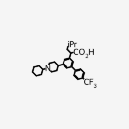 CC(C)CC(C(=O)O)c1cc(-c2ccc(C(F)(F)F)cc2)cc(C2CCN(C3CCCCC3)CC2)c1